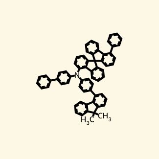 CC1(C)c2ccccc2-c2c(-c3ccc(N(c4ccc(-c5ccccc5)cc4)c4cccc5c4-c4ccccc4C54c5ccccc5-c5c(-c6ccccc6)cccc54)cc3)cccc21